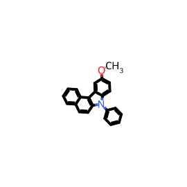 COc1ccc2c(c1)c1c3ccccc3ccc1n2-c1ccccc1